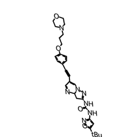 CC(C)(C)c1cc(NC(=O)NC2=NN3C=C(C#Cc4ccc(OCCCN5CCOCC5)cc4)C=NC3C2)no1